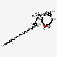 CCCCCNC(=O)CCOCCOCCOCCOCCNC(=O)CCN1C(=O)CC(SCCC(=O)N(C)[C@H](C)C(=O)O[C@H]2CC(=O)N(C)c3cc(cc(OC)c3Cl)C/C(C)=C/C=C/[C@@H](OC)[C@@]3(O)C[C@H](OC(=O)N3)[C@@H](C)[C@@H]3O[C@@]23C)C1=O